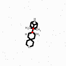 CC(C)N1CC2NC(C1)C2C(C)(C)N1CCC2(CCOCC2)CC1